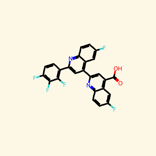 O=C(O)c1cc(-c2cc(-c3ccc(F)c(F)c3F)nc3ccc(F)cc23)nc2ccc(F)cc12